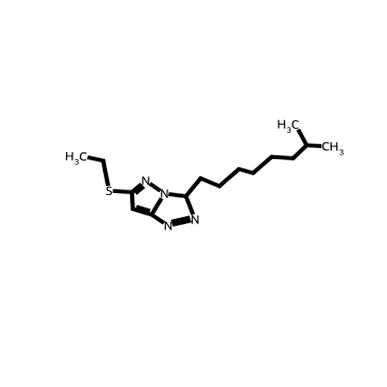 CCSc1cc2n(n1)C(CCCCCCC(C)C)N=N2